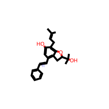 CC(C)=CCc1c(O)cc(/C=C/c2ccccc2)c2c1OC(C(C)(C)O)C2